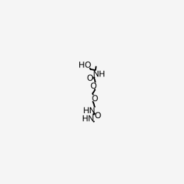 CNC(=O)NCCOCCOCC(=O)NC(C)CO